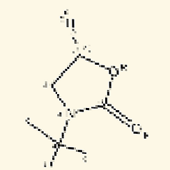 [2H][C@H]1CN(C(C)(C)C)C(=O)O1